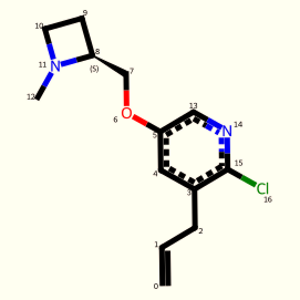 C=CCc1cc(OC[C@@H]2CCN2C)cnc1Cl